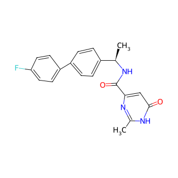 Cc1nc(C(=O)N[C@H](C)c2ccc(-c3ccc(F)cc3)cc2)cc(=O)[nH]1